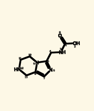 O=C(O)NCc1ncc2n1CCNC2